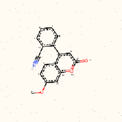 COc1ccc2c(-c3ccccc3C#N)cc(=O)oc2c1